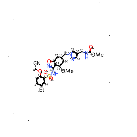 CCc1ccc(OCC#N)c(S(=O)(=O)Nc2noc3cc(Cn4cc(CNC(=O)OC)cn4)cc(OC)c23)c1